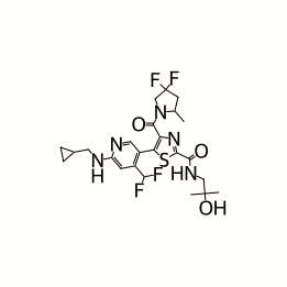 CC1CC(F)(F)CN1C(=O)c1nc(C(=O)NCC(C)(C)O)sc1-c1cnc(NCC2CC2)cc1C(F)F